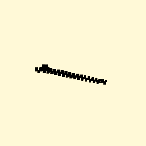 [CH2]CCCCCCCCCCCCCCCCCCCCCCCCCCCCCN(C)C